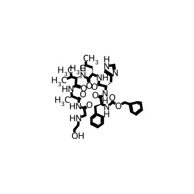 CC(C)C[C@H](NC(=O)[C@H](Cc1c[nH]cn1)NC(=O)[C@H](Cc1ccccc1)NC(=O)OCc1ccccc1)C(=O)N[C@H](C(=O)N[C@@H](C)C(=O)NC(=O)CNCCO)C(C)C